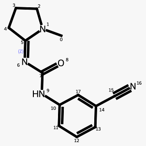 CN1CCC/C1=N/C(=O)Nc1cccc(C#N)c1